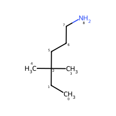 CCC(C)(C)CCCN